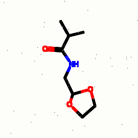 CC(C)C(=O)NCC1OCCO1